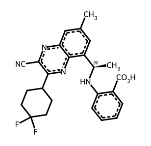 Cc1cc([C@@H](C)Nc2ccccc2C(=O)O)c2nc(C3CCC(F)(F)CC3)c(C#N)nc2c1